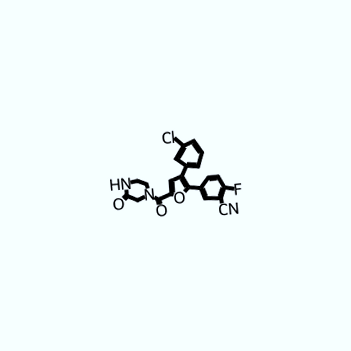 N#Cc1cc(-c2oc(C(=O)N3CCNC(=O)C3)cc2-c2cccc(Cl)c2)ccc1F